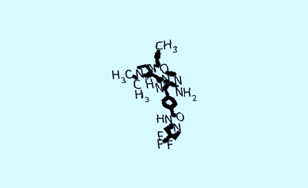 CC#CC(=O)N1C2C[C@@H](C1c1nc(-c3ccc(C(=O)Nc4cc(C(F)(F)F)ccn4)cc3)c3c(N)nccn13)N(C(C)C)C2